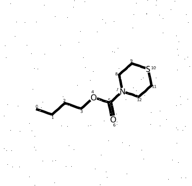 CCCCOC(=O)N1CCSCC1